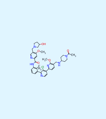 COc1cc(C(=O)Nc2cccc(-c3nccc(-c4ccc(CNC5CCN(C(C)=O)CC5)c(OC)n4)c3Cl)c2C)ncc1CN1CCC(O)C1